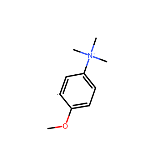 COc1[c]cc([N+](C)(C)C)cc1